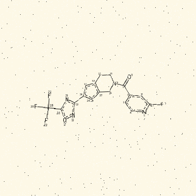 O=C(c1ccnc(F)c1)N1CCc2cc(-c3noc(C(F)(F)F)n3)sc2C1